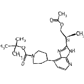 CC(=O)OC[C@@H](C)c1nc2c(C3CCN(C(=O)OC(C)(C)C)CC3)ccnc2[nH]1